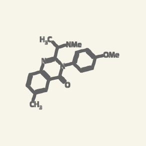 CNC(C)c1nc2ccc(C)cc2c(=O)n1-c1ccc(OC)cc1